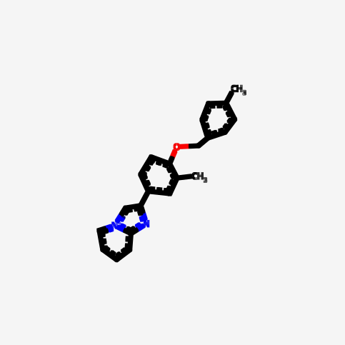 Cc1ccc(COc2ccc(-c3cn4ccccc4n3)cc2C)cc1